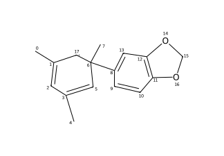 CC1=CC(C)=CC(C)(c2ccc3c(c2)OCO3)[CH]1